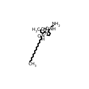 CCCCCCCCCCCCCCCC(=O)NC(CC(C)C)C(=O)N1CCCC1C(=O)NCCN